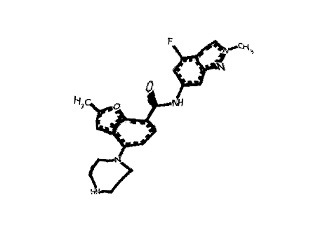 Cc1cc2c(N3CCNCC3)ccc(C(=O)Nc3cc(F)c4cn(C)nc4c3)c2o1